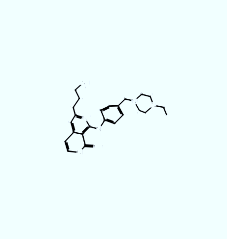 CCN1CCN(Cc2ccc(Nc3nc(CCCN)cc4cc[nH]c(=O)c34)cc2)CC1